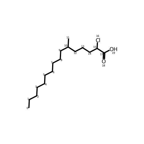 CCCCCCCCCCC(C)CCCC(Cl)C(=O)O